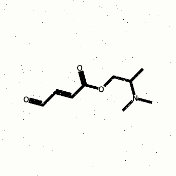 CC(COC(=O)/C=C/C=O)N(C)C